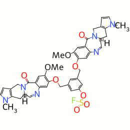 COc1cc2c(cc1OCc1cc(COc3cc4c(cc3OC)C(=O)N3Cc5ccn(C)c5C[C@H]3C=N4)cc(OS(=O)(=O)F)c1)N=C[C@@H]1Cc3c(ccn3C)CN1C2=O